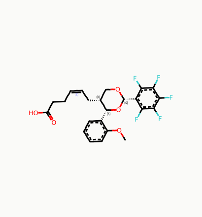 COc1ccccc1[C@H]1O[C@@H](c2c(F)c(F)c(F)c(F)c2F)OC[C@H]1C/C=C\CCC(=O)O